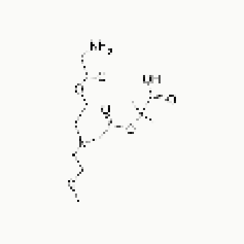 COCCN(CCOC(=O)CN)CC(=O)OC(C)(C)C(=O)O